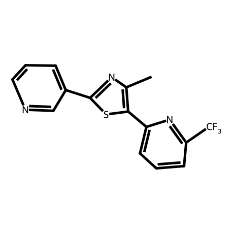 Cc1nc(-c2cccnc2)sc1-c1cccc(C(F)(F)F)n1